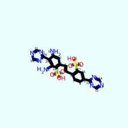 Nc1cc(C=Cc2ccc(-c3ncncn3)cc2S(=O)(=O)O)c(S(=O)(=O)O)c(N)c1-c1ncncn1